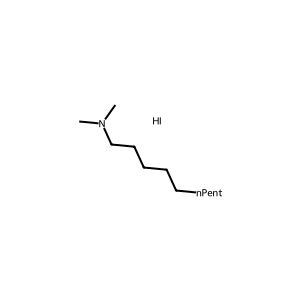 CCCCCCCCCCN(C)C.I